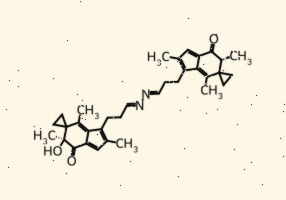 CC1=C(CCC=NN=CCCC2=C(C)C=C3C(=O)[C@@](C)(O)C4(CC4)C(C)=C32)C2=C(C)C3(CC3)[C@H](C)C(=O)C2=C1